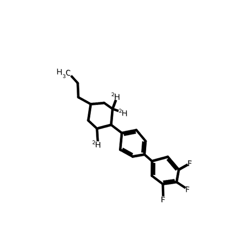 [2H]C1CC(CCC)CC([2H])([2H])C1c1ccc(-c2cc(F)c(F)c(F)c2)cc1